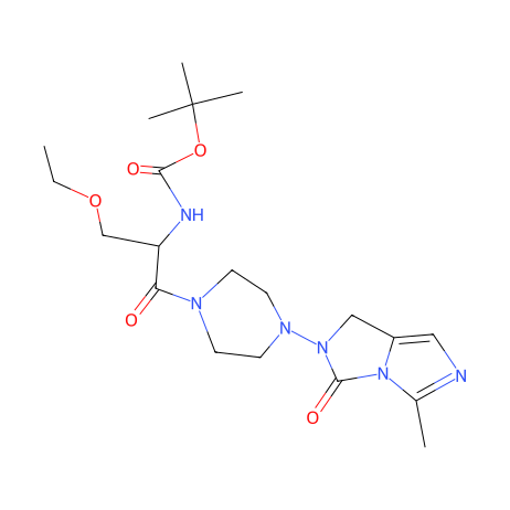 CCOCC(NC(=O)OC(C)(C)C)C(=O)N1CCN(N2Cc3cnc(C)n3C2=O)CC1